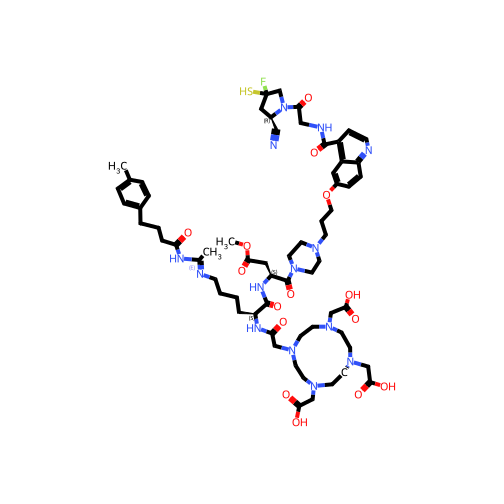 COC(=O)C[C@H](NC(=O)[C@H](CCCC/N=C(\C)NC(=O)CCCc1ccc(C)cc1)NC(=O)CN1CCN(CC(=O)O)CCN(CC(=O)O)CCN(CC(=O)O)CC1)C(=O)N1CCN(CCCOc2ccc3nccc(C(=O)NCC(=O)N4CC(F)(S)C[C@@H]4C#N)c3c2)CC1